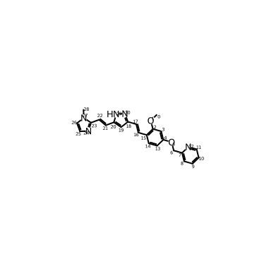 COc1cc(OCc2ccccn2)ccc1C=Cc1cc(C=Cc2nccn2C)[nH]n1